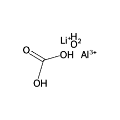 O.O=C(O)O.[Al+3].[Li+]